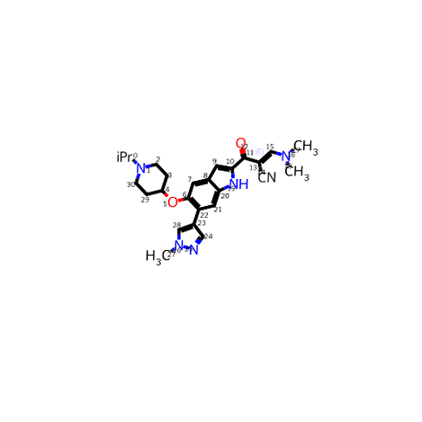 CC(C)N1CCC(Oc2cc3cc(C(=O)/C(C#N)=C/N(C)C)[nH]c3cc2-c2cnn(C)c2)CC1